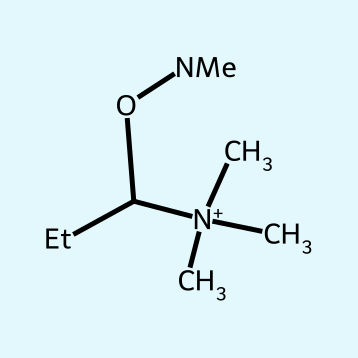 CCC(ONC)[N+](C)(C)C